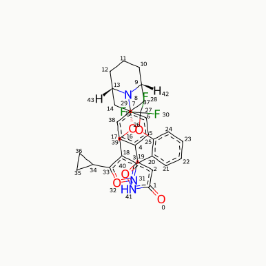 O=c1cc(-c2ccc(N3[C@@H]4CCC[C@H]3C[C@@H](OCc3c(-c5ccccc5OC(F)(F)F)noc3C3CC3)C4)cc2)o[nH]1